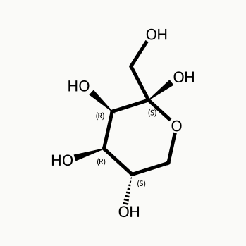 OC[C@]1(O)OC[C@H](O)[C@@H](O)[C@H]1O